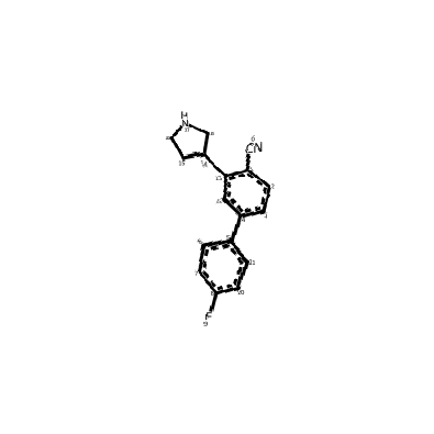 N#Cc1ccc(-c2ccc(F)cc2)cc1C1CCNC1